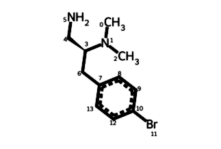 CN(C)[C@H](CN)Cc1ccc(Br)cc1